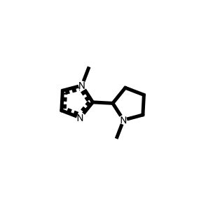 CN1CCCC1c1nccn1C